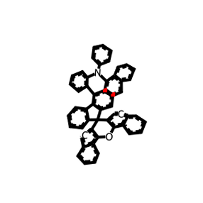 c1ccc(N(c2ccccc2-c2cccc3c2-c2ccccc2C32c3ccc4ccccc4c3Oc3c2ccc2ccccc32)c2cccc3ccccc23)cc1